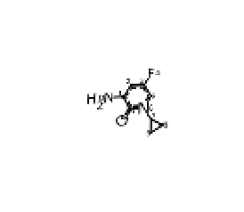 Nc1cc(F)cn(C2CC2)c1=O